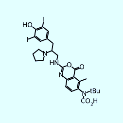 Cc1c(N(C(=O)O)C(C)(C)C)ccc2nc(NCC(Cc3cc(I)c(O)c(I)c3)N3CCCC3)oc(=O)c12